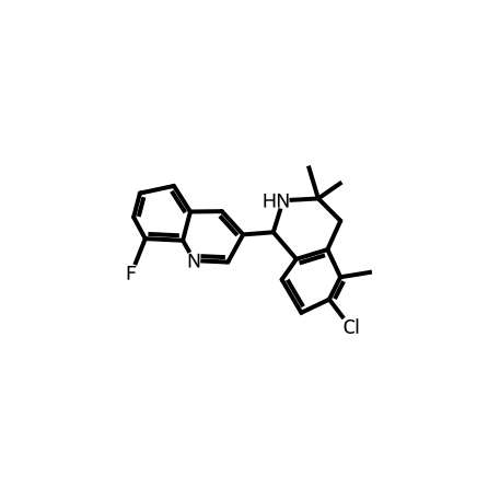 Cc1c(Cl)ccc2c1CC(C)(C)NC2c1cnc2c(F)cccc2c1